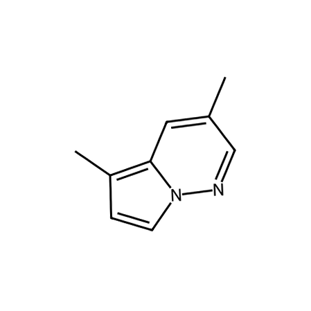 Cc1cnn2ccc(C)c2c1